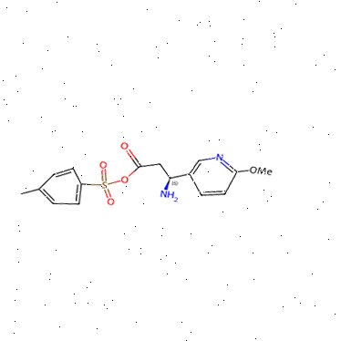 COc1ccc([C@@H](N)CC(=O)OS(=O)(=O)c2ccc(C)cc2)cn1